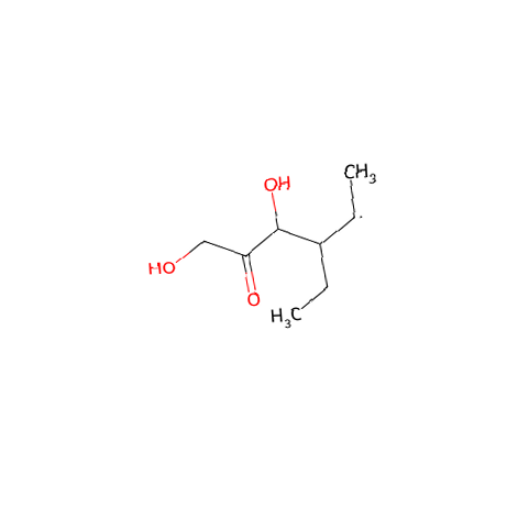 C[CH]C(CC)C(O)C(=O)CO